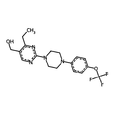 CCc1nc(N2CCN(c3ccc(OC(F)(F)F)cc3)CC2)ncc1CO